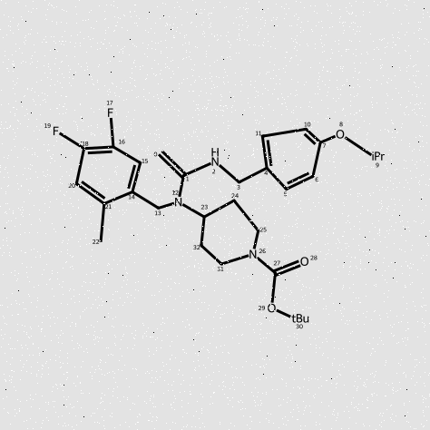 C=C(NCc1ccc(OC(C)C)cc1)N(Cc1cc(F)c(F)cc1C)C1CCN(C(=O)OC(C)(C)C)CC1